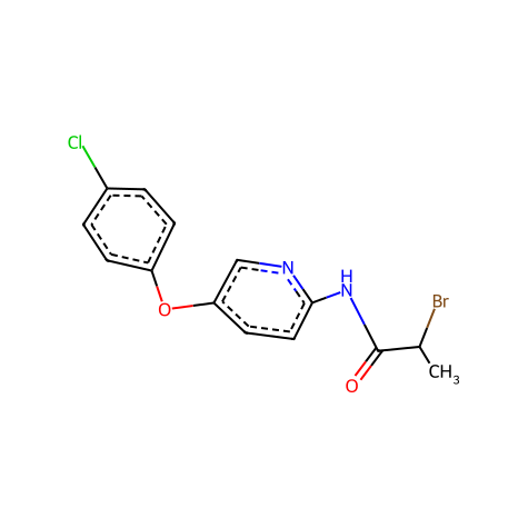 CC(Br)C(=O)Nc1ccc(Oc2ccc(Cl)cc2)cn1